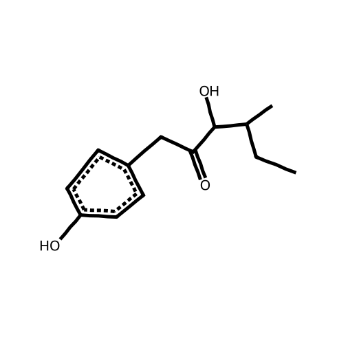 CCC(C)C(O)C(=O)Cc1ccc(O)cc1